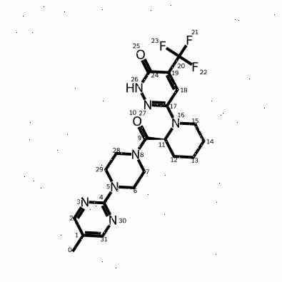 Cc1cnc(N2CCN(C(=O)[C@@H]3CCCCN3c3cc(C(F)(F)F)c(=O)[nH]n3)CC2)nc1